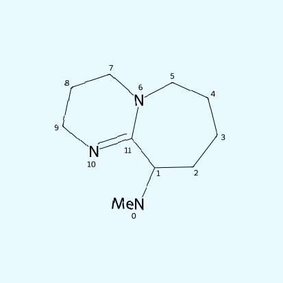 CNC1CCCCN2CCCN=C12